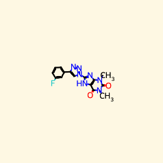 Cn1c(=O)c2[nH]c(-n3cc(-c4cccc(F)c4)nn3)nc2n(C)c1=O